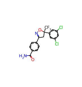 NC(=O)c1ccc(C2=NO[C@@](c3cc(Cl)cc(Cl)c3)(C(F)(F)F)C2)cc1